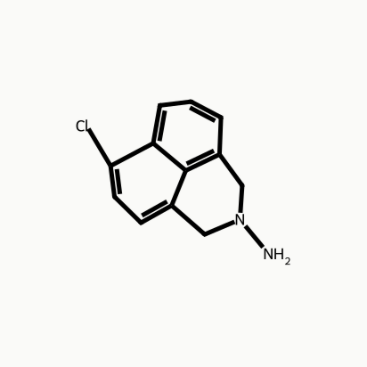 NN1Cc2cccc3c(Cl)ccc(c23)C1